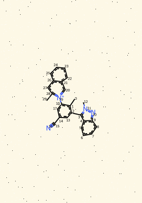 Cc1c(-c2c3ccccc3nn2C)cc(C#N)cc1-[n+]1cc2ccccc2cc1C